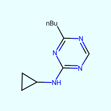 CCCCc1ncnc(NC2CC2)n1